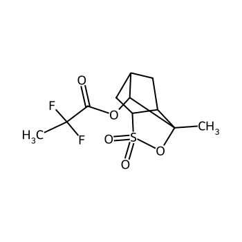 CC(F)(F)C(=O)OC1C2CC3C(C2)S(=O)(=O)OC31C